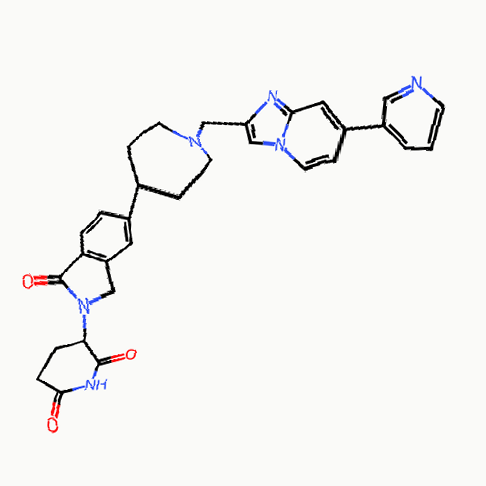 O=C1CCC(N2Cc3cc(C4CCN(Cc5cn6ccc(-c7cccnc7)cc6n5)CC4)ccc3C2=O)C(=O)N1